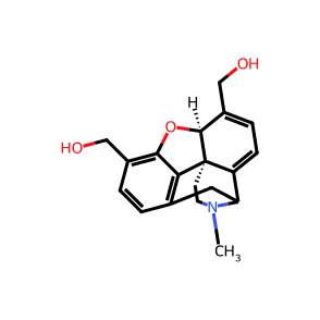 CN1CC[C@@]23C4=CC=C(CO)[C@@H]2Oc2c(CO)ccc(c23)CC41